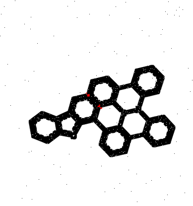 c1ccc2c(c1)B1c3c(cccc3-c3cccc4c3oc3ccccc34)-c3ccccc3N1c1ccccc1-2